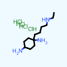 CCNCCCCC1(N)CCC(N)CC1.Cl.Cl.Cl.Cl